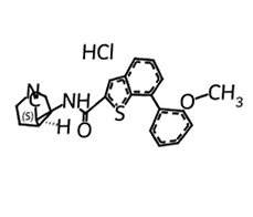 COc1ccccc1-c1cccc2cc(C(=O)N[C@@H]3CN4CCC3CC4)sc12.Cl